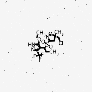 CCOc1[nH]nc(C(F)(F)F)c1C(CC)S(=O)(=O)C1=NOC(C)(CCl)C1